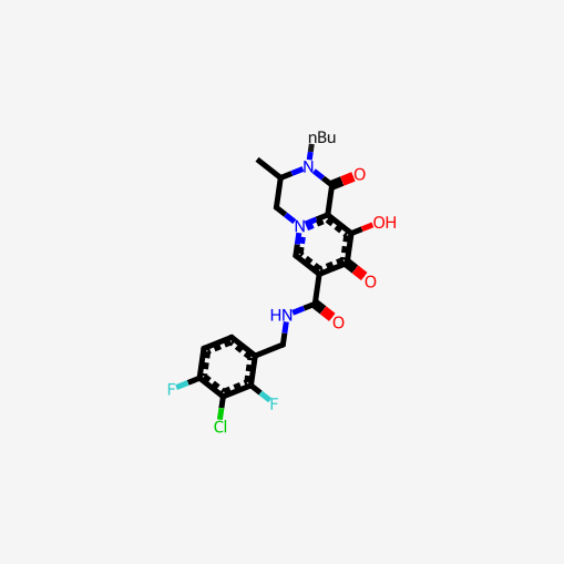 CCCCN1C(=O)c2c(O)c(=O)c(C(=O)NCc3ccc(F)c(Cl)c3F)cn2CC1C